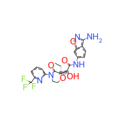 CC[C@]1([C@@H](O)C(=O)Nc2ccc3c(N)noc3c2)OCCN(c2cccc(C(F)(F)F)n2)C1=O